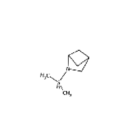 C[SH](C)N1CC2CC1C2